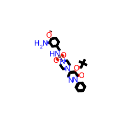 COC1CCC(CNS(=O)(=O)N2CCN(c3cnn(-c4ccccc4)c(=O)c3OCC(C)(C)C)CC2)CC1N